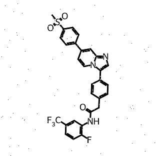 CS(=O)(=O)c1ccc(-c2ccn3c(-c4ccc(CC(=O)Nc5cc(C(F)(F)F)ccc5F)cc4)cnc3c2)cc1